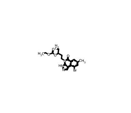 C=CC(CCn1c(=O)c2cc(C)cc(Br)c2c2cn[nH]c21)OC(=O)OCC